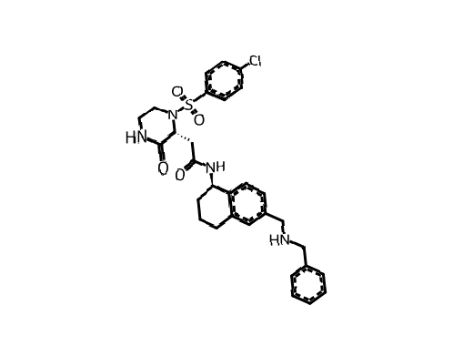 O=C(C[C@@H]1C(=O)NCCN1S(=O)(=O)c1ccc(Cl)cc1)N[C@@H]1CCCc2cc(CNCc3ccccc3)ccc21